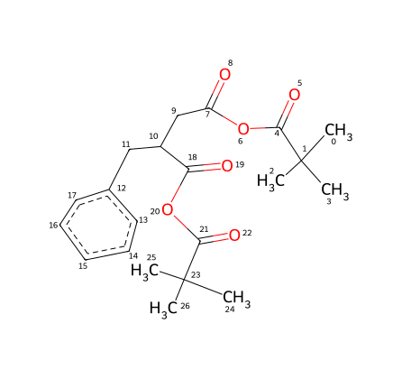 CC(C)(C)C(=O)OC(=O)CC(Cc1ccccc1)C(=O)OC(=O)C(C)(C)C